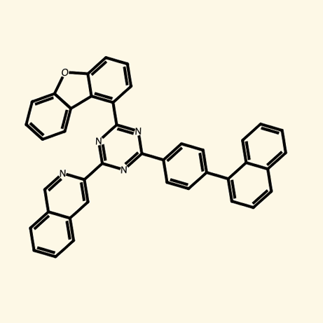 c1ccc2cc(-c3nc(-c4ccc(-c5cccc6ccccc56)cc4)nc(-c4cccc5oc6ccccc6c45)n3)ncc2c1